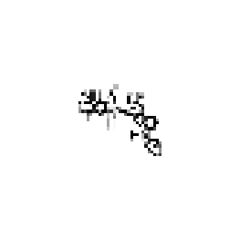 CNC(=O)c1cc(OCF)c(NCC#Cc2sc3c(NC4CCOCC4)cccc3c2CC(F)(F)F)cc1F